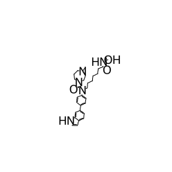 CN1CCCN(C(=O)N(CCCCCCC(=O)NO)c2ccc(-c3ccc4cc[nH]c4c3)cc2)CC1